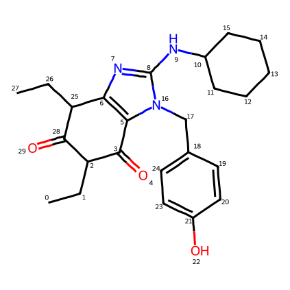 CCC1C(=O)c2c(nc(NC3CCCCC3)n2Cc2ccc(O)cc2)C(CC)C1=O